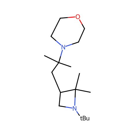 CC(C)(C)N1CC(CC(C)(C)N2CCOCC2)C1(C)C